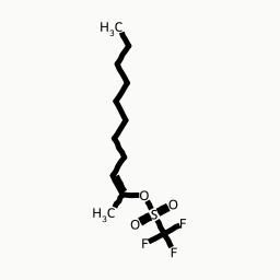 CCCCCCCCC=C(C)OS(=O)(=O)C(F)(F)F